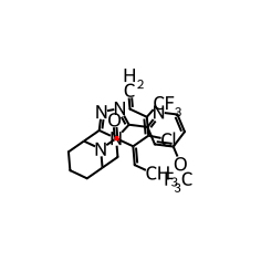 C=C/C(=C(Cl)\C(=C/C)C(=O)N1C2CCCC1c1nnc(-c3cc(OC(F)(F)F)ccn3)n1C2)C(F)(F)F